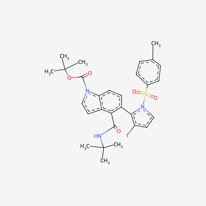 Cc1ccc(S(=O)(=O)n2ccc(I)c2-c2ccc3c(ccn3C(=O)OC(C)(C)C)c2C(=O)NC(C)(C)C)cc1